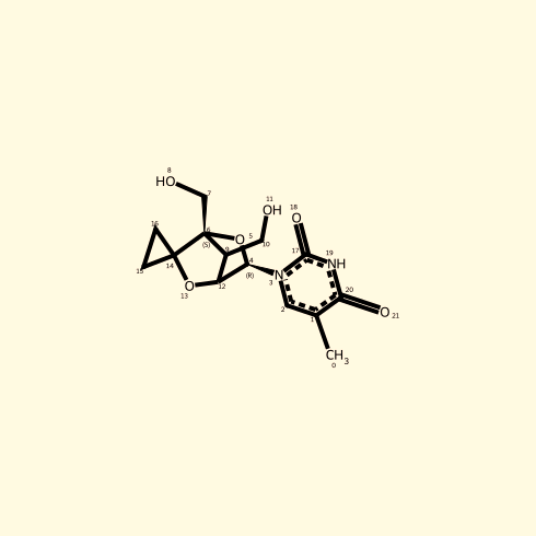 Cc1cn([C@@H]2O[C@]3(CO)C(CO)C2OC32CC2)c(=O)[nH]c1=O